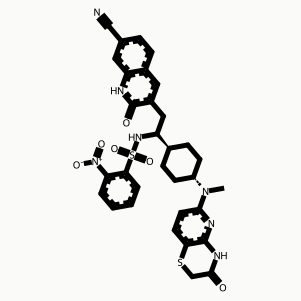 CN(c1ccc2c(n1)NC(=O)CS2)[C@H]1CC[C@H](C(Cc2cc3ccc(C#N)cc3[nH]c2=O)NS(=O)(=O)c2ccccc2[N+](=O)[O-])CC1